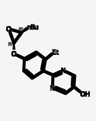 CCCC[C@@H]1O[C@H]1Oc1ccc(-c2ncc(O)cn2)c(CC)c1